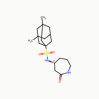 CC12CC3CC(C)(C1)CC(S(=O)(=O)N[C@H]1CCCNC(=O)C1)(C3)C2